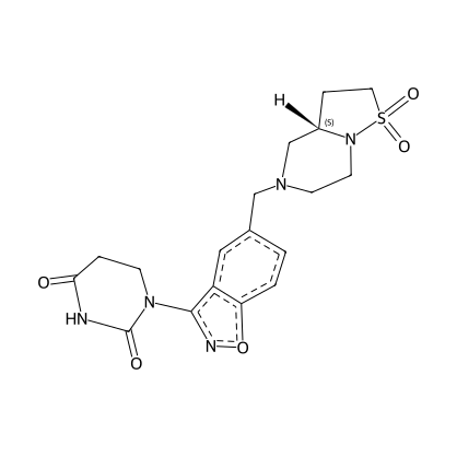 O=C1CCN(c2noc3ccc(CN4CCN5[C@@H](CCS5(=O)=O)C4)cc23)C(=O)N1